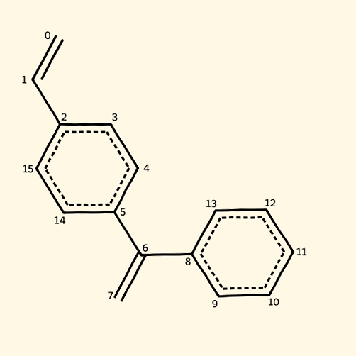 C=Cc1ccc(C(=C)c2ccccc2)cc1